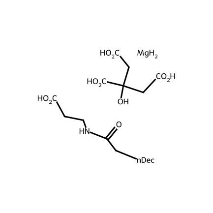 CCCCCCCCCCCC(=O)NCCC(=O)O.O=C(O)CC(O)(CC(=O)O)C(=O)O.[MgH2]